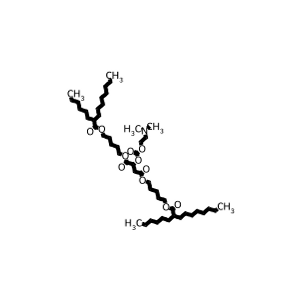 CCCCCCCCC(CCCCCC)C(=O)OCCCCCOC(=O)CC(OC(=O)OCCN(C)C)C(=O)OCCCCCOC(=O)C(CCCCCC)CCCCCCCC